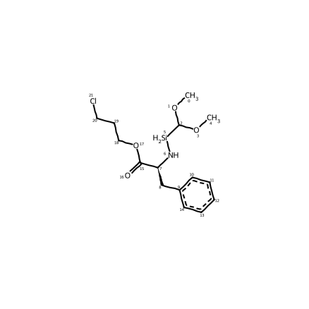 COC(OC)[SiH2]N[C@@H](Cc1ccccc1)C(=O)OCCCCl